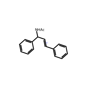 CC(=O)NC(/C=C/c1ccccc1)c1ccccc1